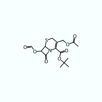 CC(=O)OCC1=C(C(=O)OC(C)(C)C)N2C(=O)C(OC=O)C2SC1